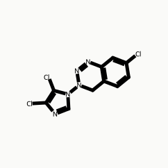 Clc1ccc2c(c1)N=NN(n1cnc(Cl)c1Cl)C2